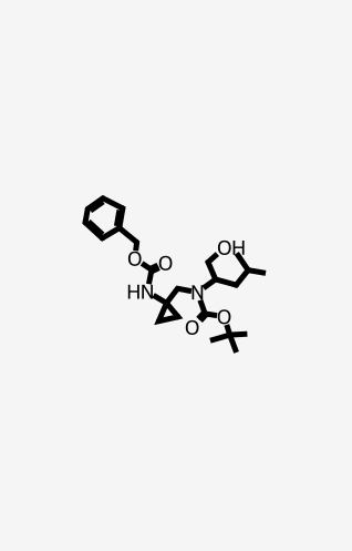 CC(C)CC(CO)N(CC1(NC(=O)OCc2ccccc2)CC1)C(=O)OC(C)(C)C